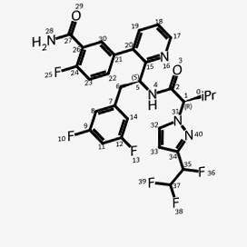 CC(C)[C@H](C(=O)N[C@@H](Cc1cc(F)cc(F)c1)c1ncccc1-c1ccc(F)c(C(N)=O)c1)n1ccc(C(F)C(F)F)n1